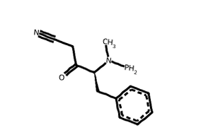 CN(P)[C@@H](Cc1ccccc1)C(=O)CC#N